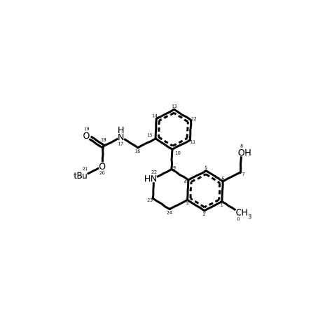 Cc1cc2c(cc1CO)C(c1ccccc1CNC(=O)OC(C)(C)C)NCC2